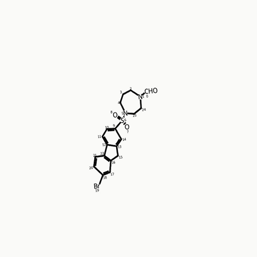 O=CN1CCCN(S(=O)(=O)c2ccc3c(c2)Cc2cc(Br)ccc2-3)CC1